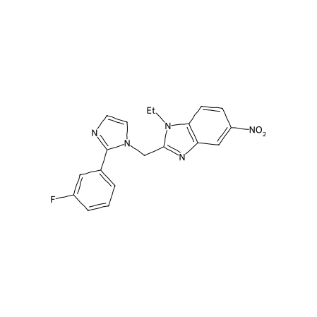 CCn1c(Cn2ccnc2-c2cccc(F)c2)nc2cc([N+](=O)[O-])ccc21